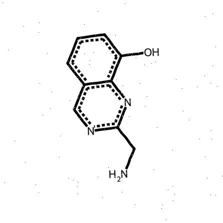 NCc1ncc2cccc(O)c2n1